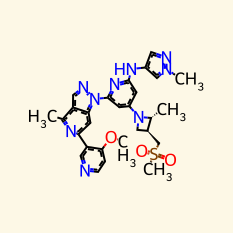 COc1ccncc1-c1cc2c(cnn2-c2cc(N3C[C@H](CS(C)(=O)=O)[C@H]3C)cc(Nc3cnn(C)c3)n2)c(C)n1